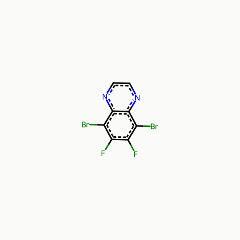 Fc1c(F)c(Br)c2nccnc2c1Br